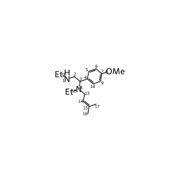 CCNCC(c1ccc(OC)cc1)N(CC)CC=C(C)C